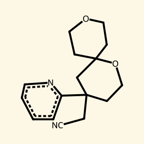 N#CCC1(c2ccccn2)CCOC2(CCOCC2)C1